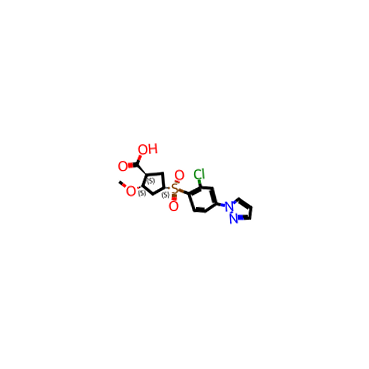 CO[C@H]1C[C@@H](S(=O)(=O)c2ccc(-n3cccn3)cc2Cl)C[C@@H]1C(=O)O